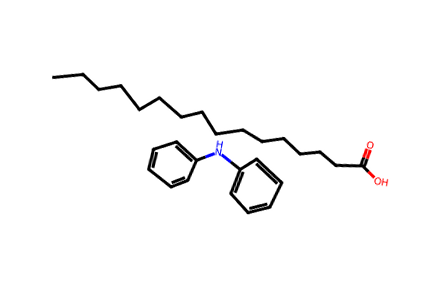 CCCCCCCCCCCCCCCC(=O)O.c1ccc(Nc2ccccc2)cc1